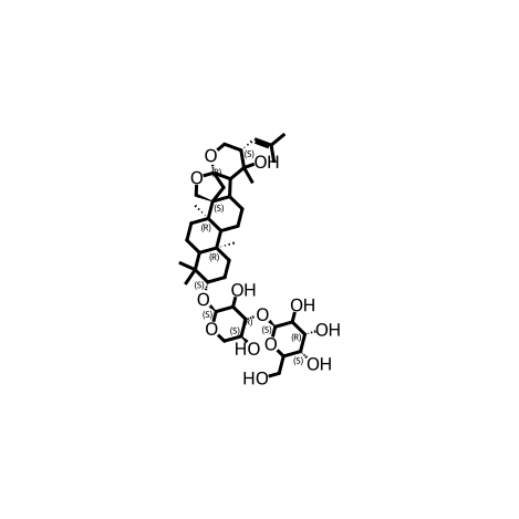 CC(C)=C[C@H]1CO[C@]23C[C@]4(CO2)C(CCC2[C@@]5(C)CC[C@H](O[C@@H]6OC[C@H](O)[C@@H](O[C@@H]7OC(CO)[C@@H](O)[C@@H](O)C7O)C6O)C(C)(C)C5CC[C@]24C)C3C1(C)O